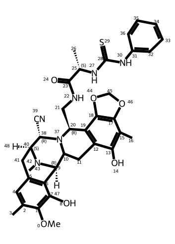 COc1c(C)cc2c(c1O)[C@@H]1C3Cc4c(O)c(C)c5c(c4[C@H](CNC(=O)[C@H](C)NC(=S)Nc4ccccc4)N3[C@@H](C#N)[C@H](C2)N1C)OCO5